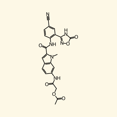 CC(=O)OCC(=O)Nc1ccc2cc(C(=O)Nc3ccc(C#N)cc3-c3noc(=O)[nH]3)n(C)c2c1